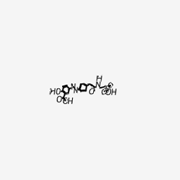 O=C(Cc1ccc(/N=N/c2ccc(O)c(C(=O)O)c2)cc1)NCCS(=O)(=O)O